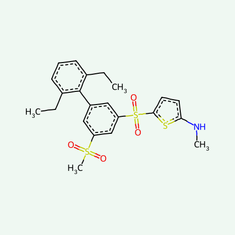 CCc1cccc(CC)c1-c1cc(S(C)(=O)=O)cc(S(=O)(=O)c2ccc(NC)s2)c1